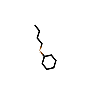 CCCCS[C]1CCCCC1